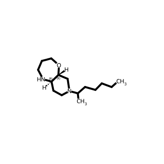 CCCCCC(C)N1CC[C@H]2NCCCO[C@@H]2C1